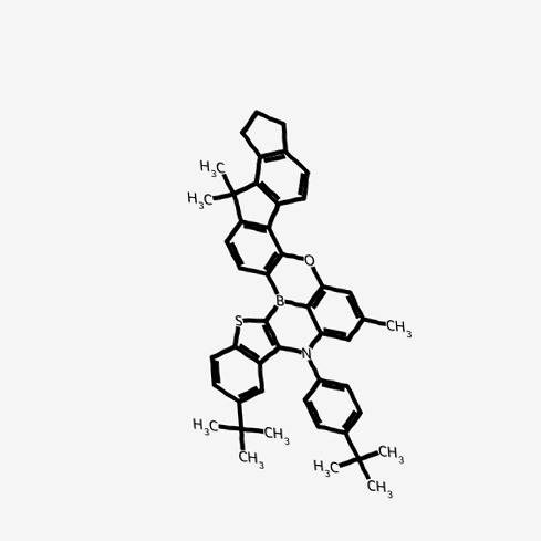 Cc1cc2c3c(c1)N(c1ccc(C(C)(C)C)cc1)c1c(sc4ccc(C(C)(C)C)cc14)B3c1ccc3c(c1O2)-c1ccc2c(c1C3(C)C)CCC2